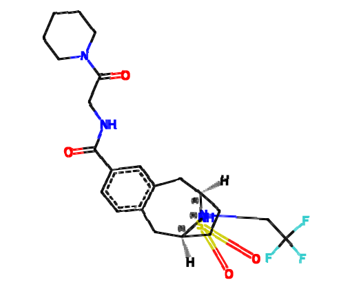 O=C(NCC(=O)N1CCCCC1)c1ccc2c(c1)C[C@H]1CC[C@@H](C2)[C@]12CN(CC(F)(F)F)S(=O)(=O)N2